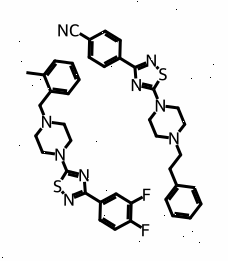 Cc1ccccc1CN1CCN(c2nc(-c3ccc(F)c(F)c3)ns2)CC1.N#Cc1ccc(-c2nsc(N3CCN(CCc4ccccc4)CC3)n2)cc1